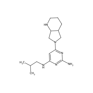 CC(C)CNc1cc(N2CC3CCCNC3C2)nc(N)n1